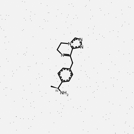 C[C@H](N)c1ccc(CC2=NCCn3cnnc32)cc1